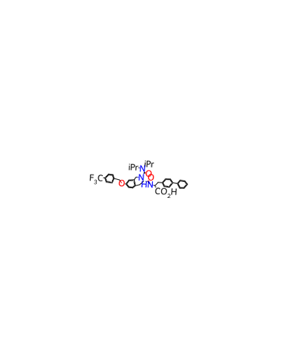 CC(C)N(C(=O)N1Cc2cc(OCc3ccc(C(F)(F)F)cc3)ccc2C[C@H]1C(=O)N[C@@H](Cc1ccc(-c2ccccc2)cc1)C(=O)O)C(C)C